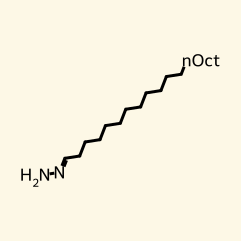 CCCCCCCCCCCCCCCCCCCC=NN